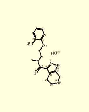 CN(CCOc1ccccc1C(C)(C)C)C(=O)c1n[nH]c2c1CCNC2.Cl